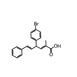 CC(=CC(C=Cc1ccccc1)c1ccc(Br)cc1)C(=O)O